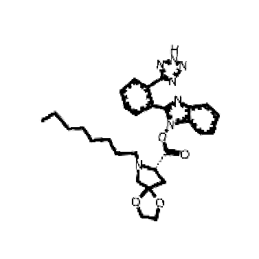 CCCCCCCCN1CC2(C[C@H]1C(=O)On1c(-c3ccccc3-c3nn[nH]n3)nc3ccccc31)OCCO2